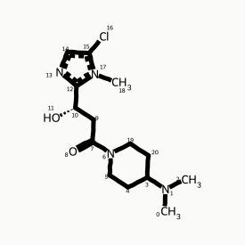 CN(C)C1CCN(C(=O)C[C@H](O)c2ncc(Cl)n2C)CC1